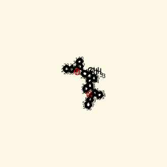 CC1(C)c2cc(-c3cc4ccccc4c4c3oc3cc5ccccc5cc34)ccc2-c2cc3c4ccccc4c(-c4cc5ccccc5c5c4oc4cc6ccccc6cc45)cc3c3cccc1c23